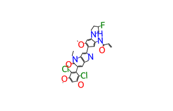 C=CC(=O)Nc1cc(-c2cc3c(cn2)cc(-c2c(Cl)c(OC)cc(OC)c2Cl)c(=O)n3CC)c(OC)cc1N1CCC(F)C1